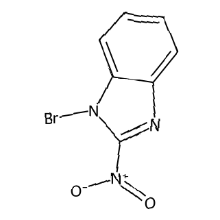 O=[N+]([O-])c1nc2ccccc2n1Br